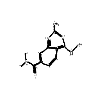 CCCCNc1nc(N)nc2cc(C(=O)N(C)C)ccc12